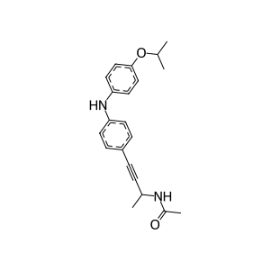 CC(=O)NC(C)C#Cc1ccc(Nc2ccc(OC(C)C)cc2)cc1